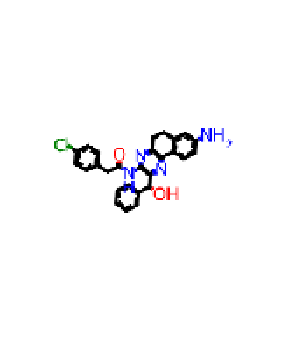 Nc1ccc2c(c1)CCc1nc(NC(=O)Cc3ccc(Cl)cc3)c(C(O)c3ccccc3)nc1-2